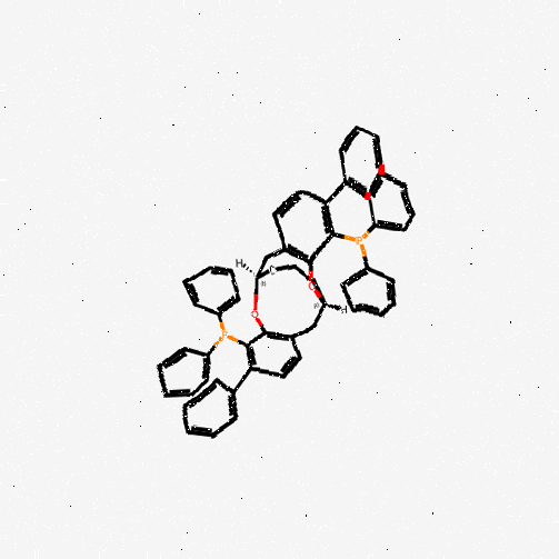 c1ccc(-c2ccc3c(c2P(c2ccccc2)c2ccccc2)O[C@@H]2CCC[C@H](C3)Oc3c(ccc(-c4ccccc4)c3P(c3ccccc3)c3ccccc3)C2)cc1